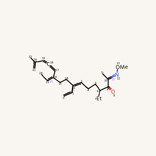 C=CC(=CCCC(CC)C(=O)/C(C)=N/OC)CC/C(C=C=CC(=C)C)=C/C